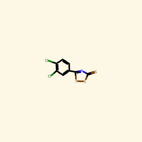 S=c1nc(-c2ccc(Cl)c(Cl)c2)ss1